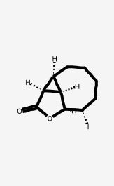 O=C1O[C@H]2[C@@H]3[C@H](CCCC[C@@H]2I)[C@H]13